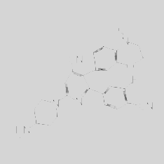 CN1CCOc2cc(-c3c(C#N)cc(N4CCC(N)CC4)nc3-c3ccc(C#N)c(F)c3)ccc21